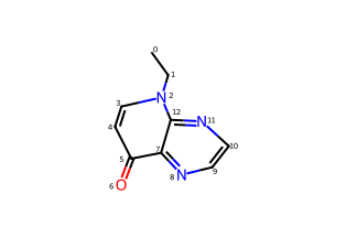 CCn1ccc(=O)c2nccnc21